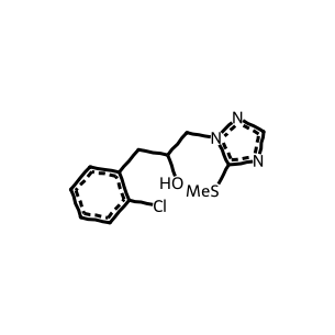 CSc1ncnn1CC(O)Cc1ccccc1Cl